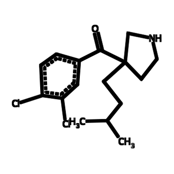 CC(C)CCC1(C(=O)c2ccc(Cl)c(Cl)c2)CCNC1